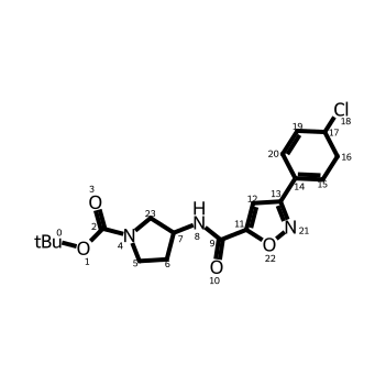 CC(C)(C)OC(=O)N1CCC(NC(=O)c2cc(C3=CCC(Cl)C=C3)no2)C1